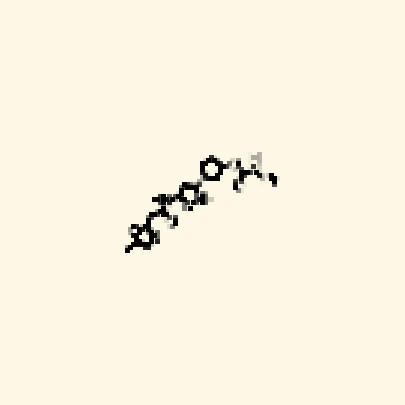 Cc1cnc(CC(=O)Nc2cc([C@H]3CC[C@@H](OC(=O)NC(C)C)C3)[nH]n2)o1